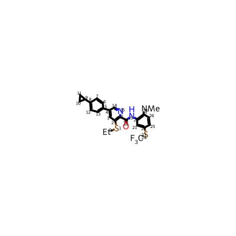 CCSc1cc(-c2ccc(C3CC3)cc2)cnc1C(=O)Nc1cc(SC(F)(F)F)ccc1NC